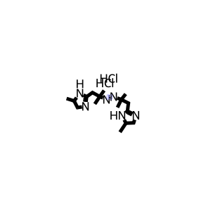 CC1CN=C(CC(C)(C)/N=N/C(C)(C)CC2=NCC(C)N2)N1.Cl.Cl